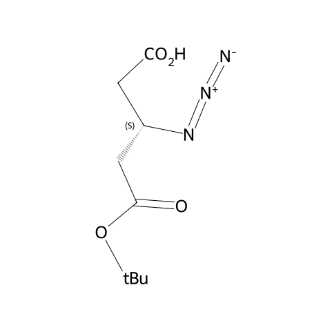 CC(C)(C)OC(=O)C[C@H](CC(=O)O)N=[N+]=[N-]